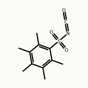 Cc1c(C)c(C)c(S(=O)(=O)N=C=O)c(C)c1C